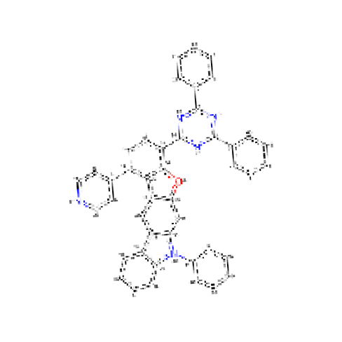 c1ccc(-c2nc(-c3ccccc3)nc(-c3ccc(-c4ccncc4)c4c3oc3cc5c(cc34)c3ccccc3n5-c3ccccc3)n2)cc1